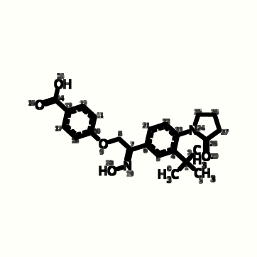 CC(C)(C)c1cc(C(COc2ccc(C(=O)O)cc2)=NO)ccc1N1CCCC1=O